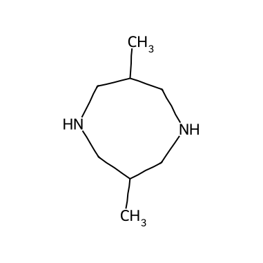 CC1CNCC(C)CNC1